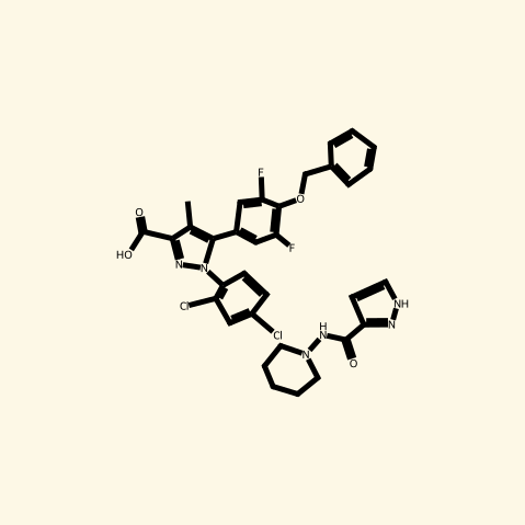 Cc1c(C(=O)O)nn(-c2ccc(Cl)cc2Cl)c1-c1cc(F)c(OCc2ccccc2)c(F)c1.O=C(NN1CCCCC1)c1cc[nH]n1